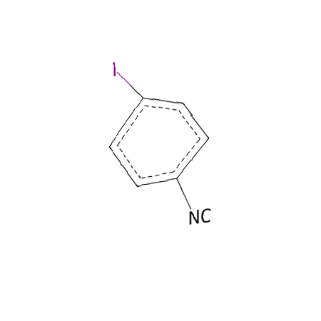 [C-]#[N+]c1ccc(I)cc1